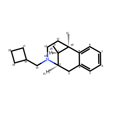 C[C@@H]1[C@H]2Cc3ccccc3[C@]1(C)CCN2CC1CCC1